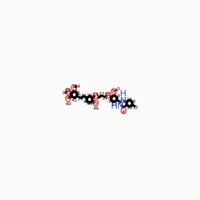 COc1cc(C2NC(=O)c3cc(C)ccc3N2)ccc1OCCCOc1cc(/C=C/c2cc(OC)c(OC)c(OC)c2)ccc1OC